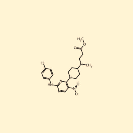 COC(=O)CCN(C)C1CCN(c2nc(Nc3ccc(Cl)cc3)ncc2[N+](=O)[O-])CC1